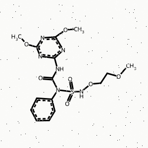 COCCONS(=O)(=O)N(C(=O)Nc1nc(OC)nc(OC)n1)c1ccccc1